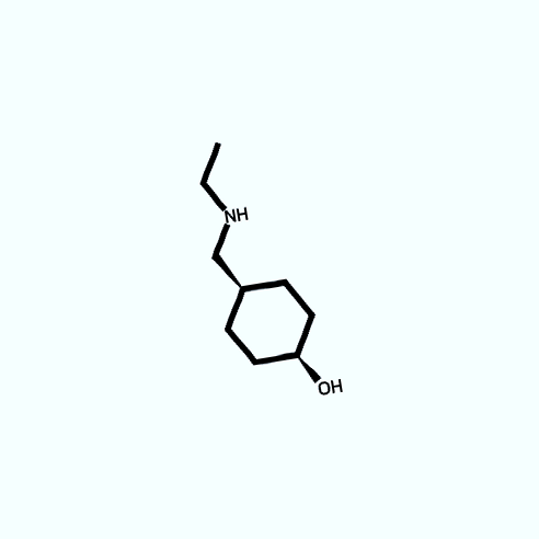 CCNC[C@H]1CC[C@@H](O)CC1